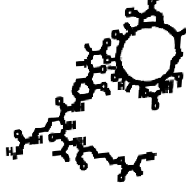 C=C(CBr)C(=O)OCCCCC(C=O)N[C@H](C(=O)N[C@@H](CCCNC(N)=O)C(=O)Nc1ccc(C(=O)N(C)[C@@H](C)C(=O)O[C@H]2CC(=O)N(C)c3cc(cc(OC)c3Cl)C/C(C)=C/C=C/[C@@H](OC)[C@@]3(O)C[C@H](OC(=O)N3)[C@@H](C)[C@@H]3O[C@@]23C)c(OC)c1)C(C)C